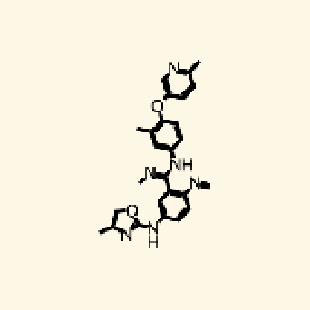 C=Nc1ccc(NC2=NC(C)CO2)cc1/C(=N\C)Nc1ccc(Oc2ccc(C)nc2)c(C)c1